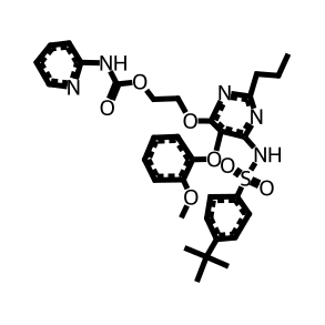 CCCc1nc(NS(=O)(=O)c2ccc(C(C)(C)C)cc2)c(Oc2ccccc2OC)c(OCCOC(=O)Nc2ccccn2)n1